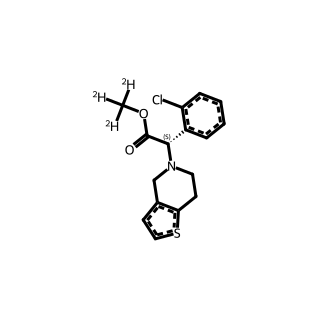 [2H]C([2H])([2H])OC(=O)[C@H](c1ccccc1Cl)N1CCc2sccc2C1